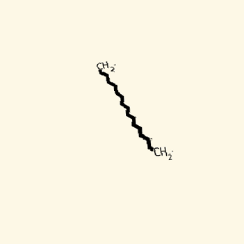 [CH2]C[CH]CCCCCCCCCCCCC[CH2]